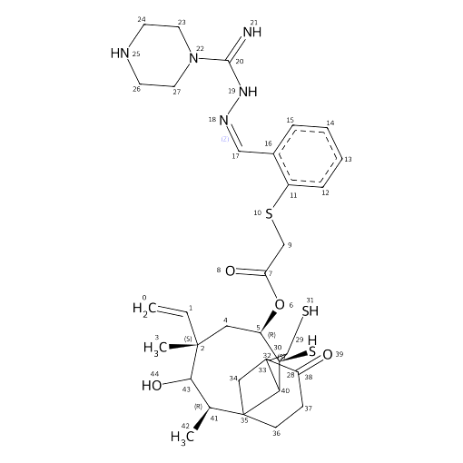 C=C[C@]1(C)C[C@@H](OC(=O)CSc2ccccc2/C=N\NC(=N)N2CCNCC2)[C@]2(S)C(S)CC34CC(CCC3=O)(C42)[C@@H](C)C1O